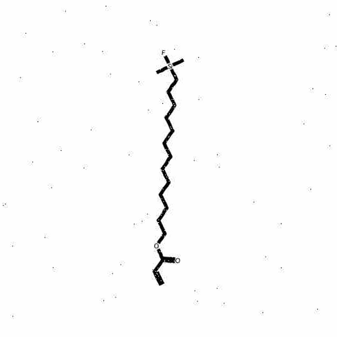 C=CC(=O)OCCCCCCCCCCCCC[Si](C)(C)F